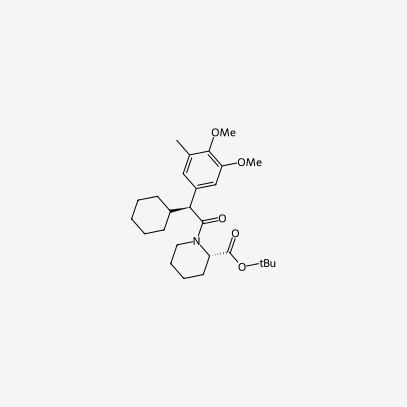 COc1cc([C@@H](C(=O)N2CCCC[C@H]2C(=O)OC(C)(C)C)C2CCCCC2)cc(C)c1OC